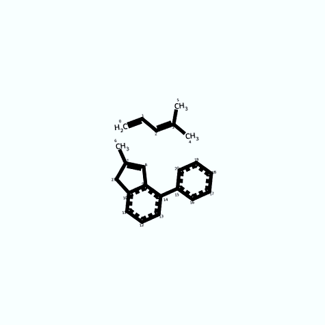 C=CC=C(C)C.CC1=Cc2c(cccc2-c2ccccc2)C1